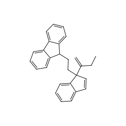 C=C(CC)C1(CCC2c3ccccc3-c3ccccc32)C=Cc2ccccc21